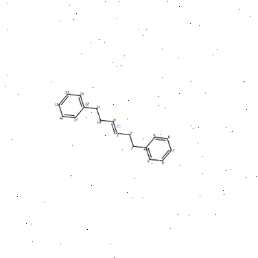 C(=C\CCc1ccccc1)/CCc1ccccc1